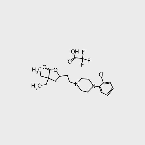 CCC1(CC)CC(CCN2CCN(c3ccccc3Cl)CC2)OC1=O.O=C(O)C(F)(F)F